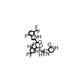 N#C[C@H](C[C@H]1CCCNC1=O)NC(=O)[C@H]1[C@H]2CC(F)(F)C[C@H]2CN1C(=O)c1cc2c(F)ccc(C(F)F)c2[nH]1